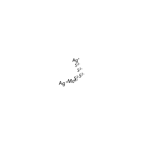 [Ag+].[Ag+].[Mo+6].[S-2].[S-2].[S-2].[S-2]